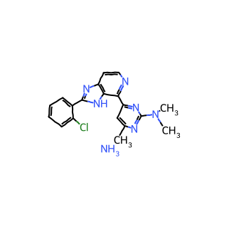 Cc1cc(-c2nccc3nc(-c4ccccc4Cl)[nH]c23)nc(N(C)C)n1.N